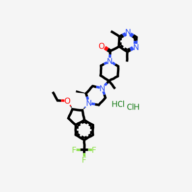 CCO[C@H]1Cc2cc(C(F)(F)F)ccc2[C@H]1N1CCN(C2(C)CCN(C(=O)c3c(C)ncnc3C)CC2)C[C@@H]1C.Cl.Cl